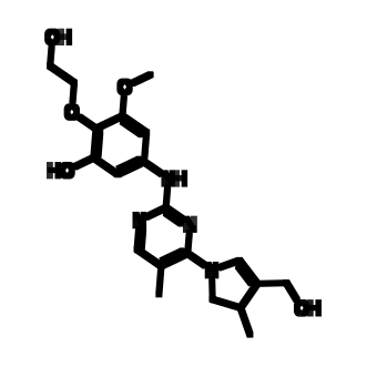 COc1cc(Nc2ncc(C)c(N3C=C(CO)C(C)C3)n2)cc(O)c1OCCO